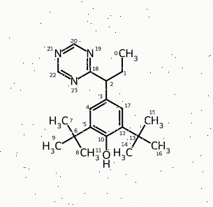 CCC(c1cc(C(C)(C)C)c(O)c(C(C)(C)C)c1)c1ncncn1